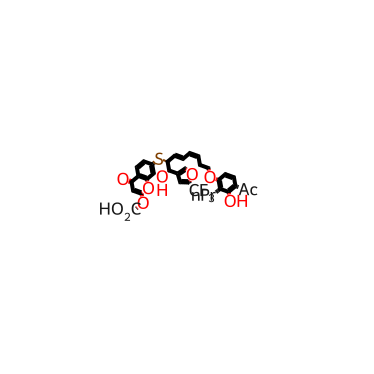 CCCc1c(OCC/C=C\C=C\[C@H](Sc2ccc3c(=O)cc(OC(=O)O)oc3c2)[C@H](O)c2coc(C(F)(F)F)c2)ccc(C(C)=O)c1O